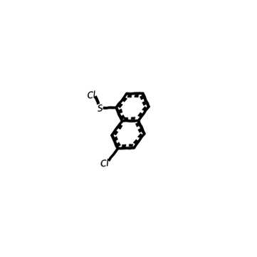 ClSc1cccc2ccc(Cl)cc12